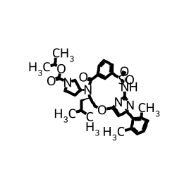 Cc1cccc(C)c1-c1cc2nc(n1)NS(=O)(=O)c1cccc(c1)C(=O)N([C@H]1CCN(C(=O)OC(C)C)C1)[C@H](CC(C)C)CO2